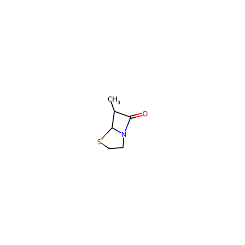 CC1C(=O)N2CCSC12